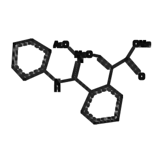 CO/C=C(/C(=O)OC)c1ccccc1C(=NOC(C)=O)Nc1ccccc1